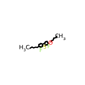 CCCCCCc1ccc2c(sc3c(F)c(OCCCCC)ccc32)c1F